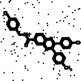 Cc1ccc(-c2nc3ccc(C(=O)NCc4ccc(Cl)cc4)cc3nc2-c2ccc(C)cc2)cc1